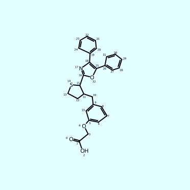 O=C(O)COc1cccc(CC2CCSC2c2nc(-c3ccccc3)c(-c3ccccc3)o2)c1